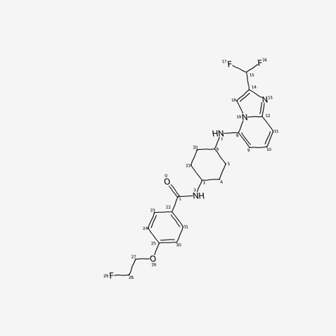 O=C(NC1CCC(Nc2cccc3nc(C(F)F)cn23)CC1)c1ccc(OCCF)cc1